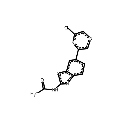 CC(=O)Nc1nc2ccc(-c3cncc(Cl)n3)cc2s1